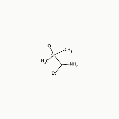 CCC(N)[Si](C)(C)[O]